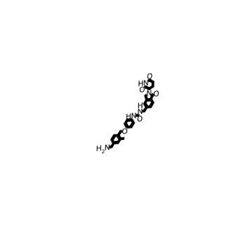 Cc1cc(CN)ccc1COc1ccc(NC(=O)NCc2ccc3c(c2)CN(C2CCC(=O)NC2=O)C3=O)cc1